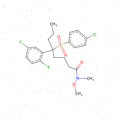 CCCC(CCCC(=O)N(C)OC)(c1cc(F)ccc1F)S(=O)(=O)c1ccc(Cl)cc1